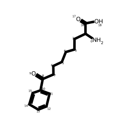 NC(CCCCCCC(=O)c1ccccc1)C(=O)O